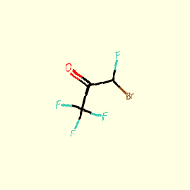 O=C(C(F)Br)C(F)(F)F